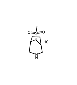 CS(=O)(=O)N1C2CCC1CNC2.Cl